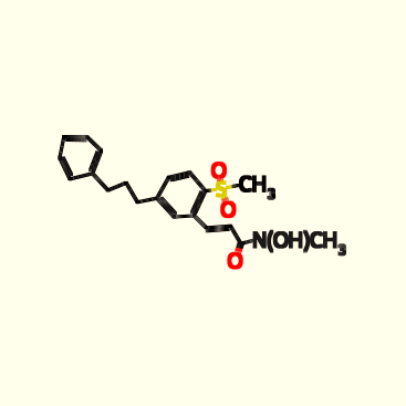 CN(O)C(=O)/C=C/c1cc(CCCc2ccccc2)ccc1S(C)(=O)=O